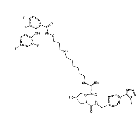 Cc1ncsc1-c1ccc(CNC(=O)[C@@H]2C[C@@H](O)CN2C(=O)[C@@H](NCCCCCCNCCCONC(=O)c2ccc(F)c(F)c2Nc2ccc(I)cc2F)C(C)(C)C)cc1